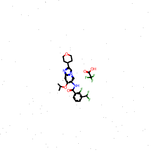 CC(C)Oc1cc2nc(C3CCOCC3)cn2cc1NC(=O)c1cccc(C(F)F)c1F.O=C(O)C(F)(F)F